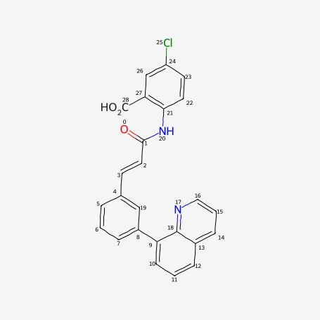 O=C(C=Cc1cccc(-c2cccc3cccnc23)c1)Nc1ccc(Cl)cc1C(=O)O